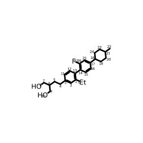 CCc1cc(CCC(CO)CO)ccc1-c1ccc(C2CCC(C)CC2)cc1F